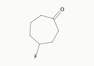 O=C1CCCC(F)CC1